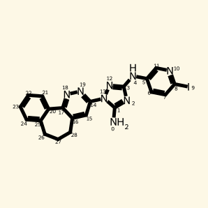 Nc1nc(Nc2ccc(I)nc2)nn1-c1cc2c(nn1)-c1ccccc1CCC2